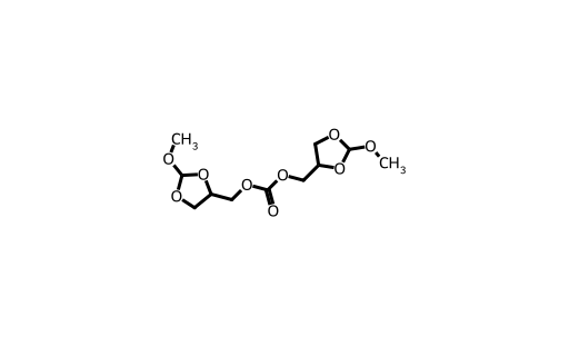 COC1OCC(COC(=O)OCC2COC(OC)O2)O1